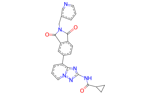 O=C(Nc1nc2c(-c3ccc4c(c3)C(=O)N(Cc3cccnc3)C4=O)cccn2n1)C1CC1